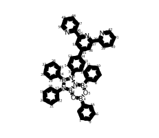 c1ccc(B2OB(c3ccccc3)N3B(O2)N(c2ccccc2)B(c2ccccc2)N3c2ccc(-c3cc(-c4ccccn4)nc(-c4ccccn4)c3)cc2)cc1